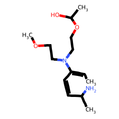 C/C=C(\C=C/C(C)N)N(CCOC)CCOC(C)O